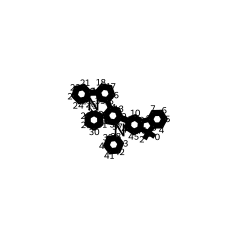 CC1(C)c2ccccc2-c2cc3c4cc(-c5cccc6c7ccccc7n(-c7ccccc7)c56)ccc4n(-c4ccccc4)c3cc21